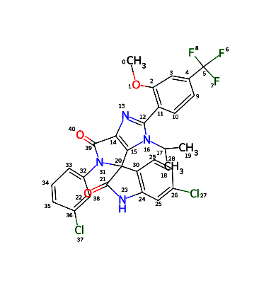 COc1cc(C(F)(F)F)ccc1-c1nc2c(n1C(C)C)C1(C(=O)Nc3cc(Cl)ccc31)N(c1cccc(Cl)c1)C2=O